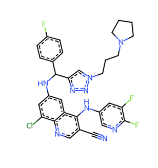 N#Cc1cnc2c(Cl)cc(NC(c3ccc(F)cc3)c3cn(CCCN4CCCC4)nn3)cc2c1Nc1cnc(F)c(F)c1